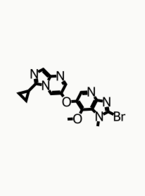 COc1c(Oc2cnc3cnc(C4CC4)n3c2)cnc2nc(Br)n(C)c12